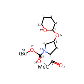 COC(=O)[C@H]1CC(OC2CCCCO2)CN1C(=O)OC(C)(C)C